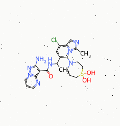 Cc1ncc2c(Cl)cc(C(C)NC(=O)c3c(N)nn4cccnc34)c(N3CCCS(O)(O)CC3)n12